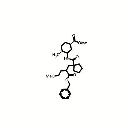 COCCC(CC1(C(=O)NC2C[C@@H](C(=O)OC)CC[C@H]2C)CCCC1)C(=O)OCc1ccccc1